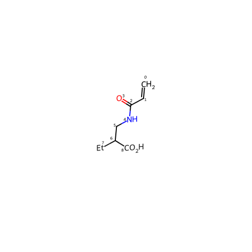 C=CC(=O)NCC(CC)C(=O)O